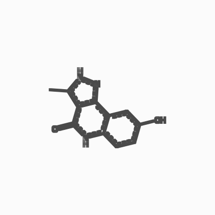 Cc1[nH]nc2c1c(=O)[nH]c1ccc(O)cc12